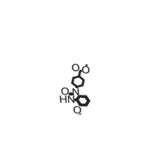 COC(=O)C1CCC(n2c(=O)[nH]c3c(OC)cccc32)CC1